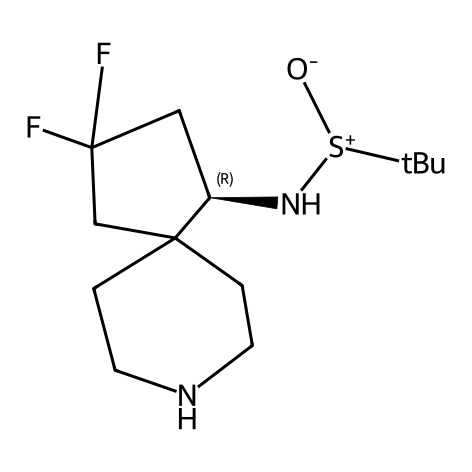 CC(C)(C)[S+]([O-])N[C@@H]1CC(F)(F)CC12CCNCC2